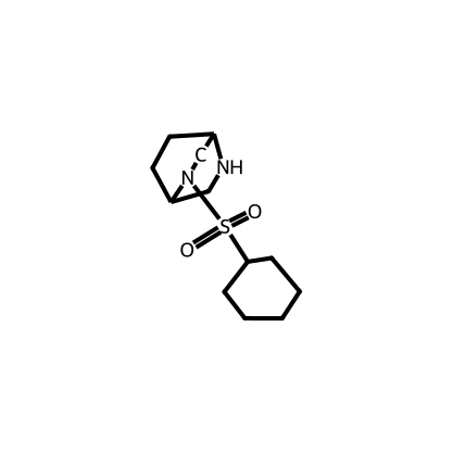 O=S(=O)(C1CCCCC1)N1CC2CCC1CN2